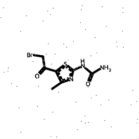 Cc1nc(NC(N)=O)sc1C(=O)CBr